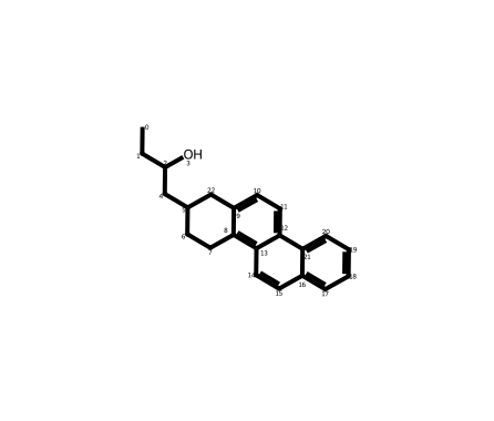 CCC(O)CC1CCc2c(ccc3c2ccc2ccccc23)C1